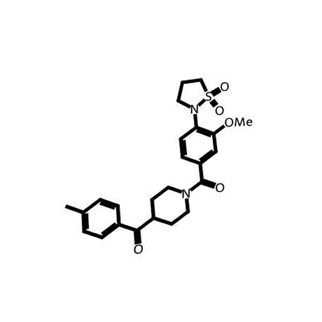 COc1cc(C(=O)N2CCC(C(=O)c3ccc(C)cc3)CC2)ccc1N1CCCS1(=O)=O